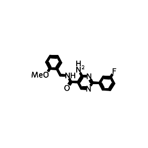 COc1ccccc1CNC(=O)c1cnc(-c2cccc(F)c2)nc1N